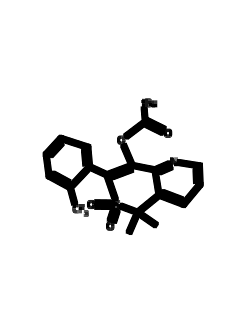 CC(C)(C)C(=O)OC1=C(c2ccccc2C(F)(F)F)S(=O)(=O)C(C)(C)c2cccnc21